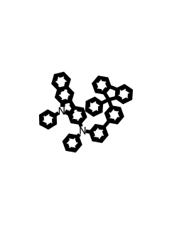 c1ccc(N(c2cccc(-c3cccc(C4(c5ccccc5)c5ccccc5-c5ccccc54)c3)c2)c2ccc3c4cc5ccccc5cc4n(-c4ccccc4)c3c2)cc1